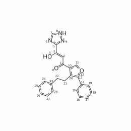 O=C(C=C(O)c1nc[nH]n1)c1coc(-c2ccccc2)c1CCc1ccccc1